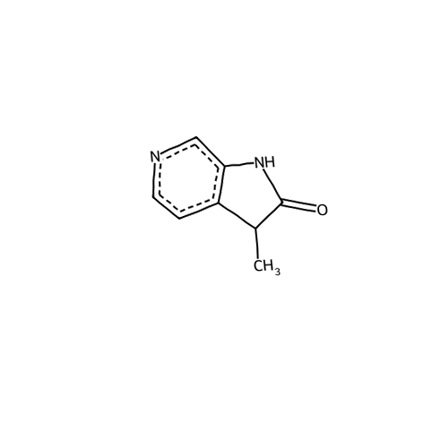 CC1C(=O)Nc2cnccc21